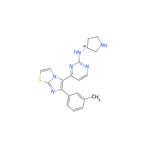 Cc1cccc(-c2nc3sccn3c2-c2ccnc(N[C@@H]3CCNC3)n2)c1